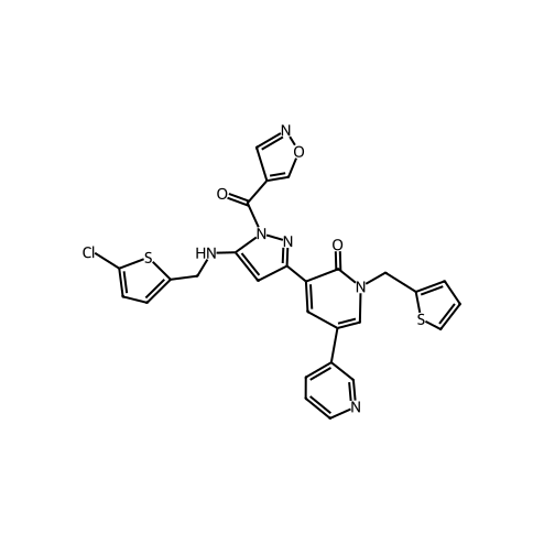 O=C(c1cnoc1)n1nc(-c2cc(-c3cccnc3)cn(Cc3cccs3)c2=O)cc1NCc1ccc(Cl)s1